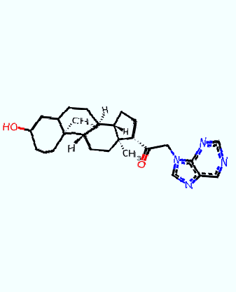 C[C@]12CC[C@H]3[C@@H](CCC4CC(O)CC[C@@]43C)[C@@H]1CC[C@@H]2C(=O)Cn1cnc2cncnc21